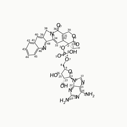 CC[C@@]1(OP(=O)(O)OC[C@H]2O[C@@H](n3cnc4c(N)nc(N)nc43)[C@H](O)[C@@H]2O)C(=O)OCc2c1cc1n(c2=O)Cc2cc3ccccc3nc2-1